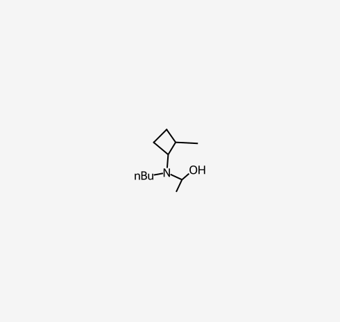 CCCCN(C(C)O)C1CCC1C